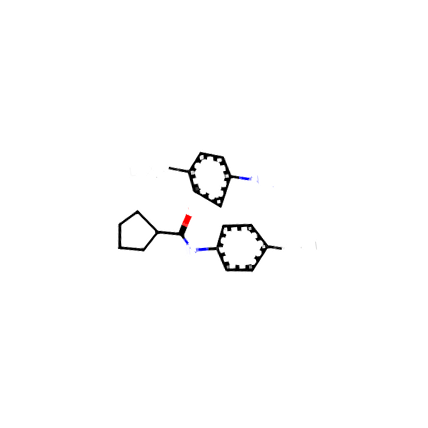 CCOC(=O)c1ccc(N)cc1.O=C(O)c1ccc(NC(=O)C2CCCC2)cc1